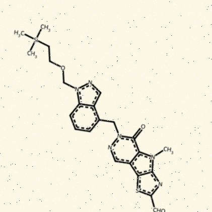 Cn1c2nc(C=O)sc2c2cnn(Cc3cccc4c3cnn4COCC[Si](C)(C)C)c(=O)c21